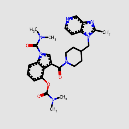 Cc1nc2cnccc2n1CC1CCN(C(=O)c2cn(C(=O)N(C)C)c3cccc(OC(=O)N(C)C)c23)CC1